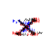 CC(=O)NC1C(OCCCCC(=O)NCCCNC(=O)CCOCC(COCCC(=O)NCCCNC(=O)CCCCOC2OC(CO)C(O)C(O)C2NC(C)=O)(COCCC(=O)NCCCNC(=O)CCCCOC2OC(CO)C(O)C(O)C2NC(C)=O)NC(=O)CCCCCCCC(=O)NCCCCCCN)OC(CO)C(O)C1O